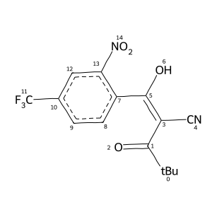 CC(C)(C)C(=O)C(C#N)=C(O)c1ccc(C(F)(F)F)cc1[N+](=O)[O-]